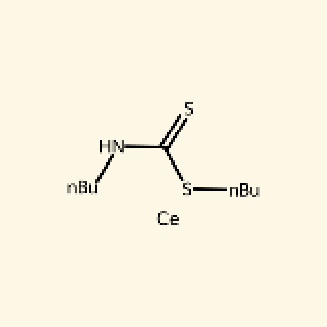 CCCCNC(=S)SCCCC.[Ce]